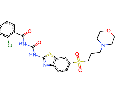 O=C(NC(=O)c1ccccc1Cl)Nc1nc2ccc(S(=O)(=O)CCCN3CCOCC3)cc2s1